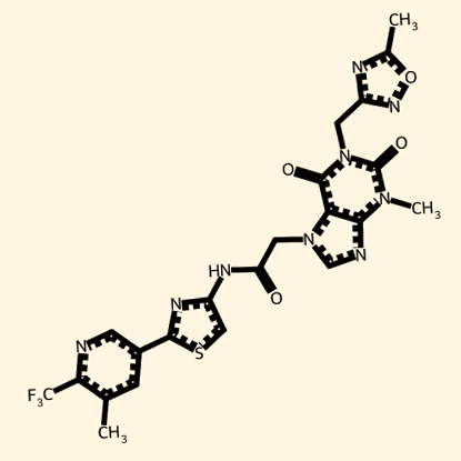 Cc1nc(Cn2c(=O)c3c(ncn3CC(=O)Nc3csc(-c4cnc(C(F)(F)F)c(C)c4)n3)n(C)c2=O)no1